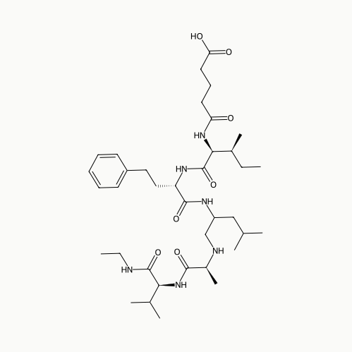 CCNC(=O)[C@@H](NC(=O)[C@H](C)NCC(CC(C)C)NC(=O)[C@H](CCc1ccccc1)NC(=O)[C@@H](NC(=O)CCCC(=O)O)[C@@H](C)CC)C(C)C